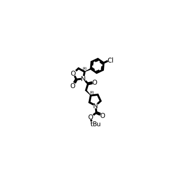 CC(C)(C)OC(=O)N1CC[C@H](CC(=O)N2C(=O)OC[C@H]2c2ccc(Cl)cc2)C1